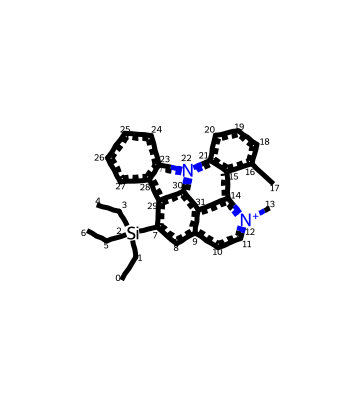 CC[Si](CC)(CC)c1cc2cc[n+](C)c3c4c(C)cccc4n4c5ccccc5c1c4c23